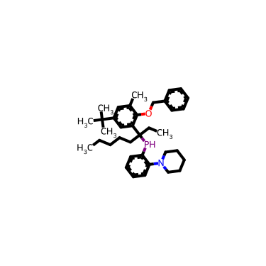 CCCCCC(CC)(Pc1ccccc1N1CCCCC1)c1cc(C(C)(C)C)cc(C)c1OCc1ccccc1